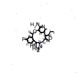 CCc1onc2c1-c1cnc(N)c(c1)OC(C)c1cc(F)ccc1C(=N)/C(=N\NC)C2